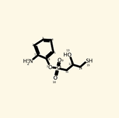 Nc1ccccc1OS(=O)(=O)CC(O)CS